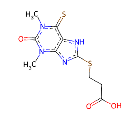 Cn1c(=S)c2[nH]c(SCCC(=O)O)nc2n(C)c1=O